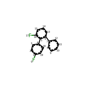 Fc1ccc(-c2c(-c3ccccc3)[c]ccc2F)cc1